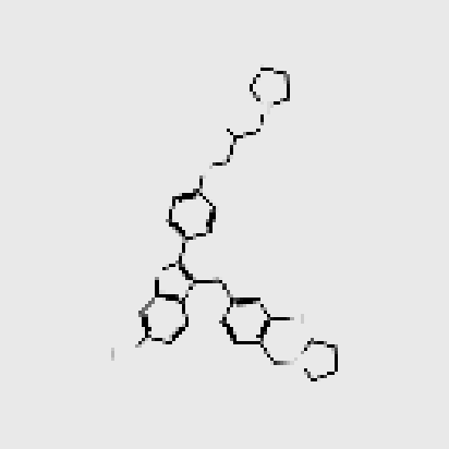 Cc1cc(Cc2c(-c3ccc(OCC(O)CN4CCCC4)cc3)sc3cc(O)ccc23)ccc1CN1CCCC1